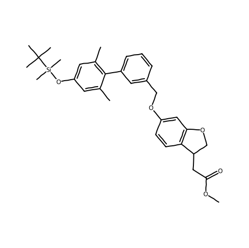 COC(=O)CC1COc2cc(OCc3cccc(-c4c(C)cc(O[Si](C)(C)C(C)(C)C)cc4C)c3)ccc21